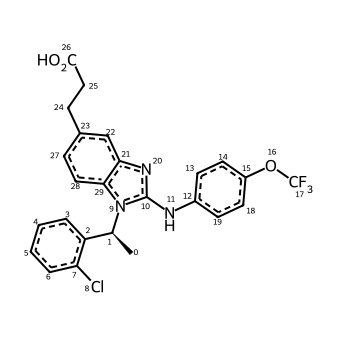 C[C@@H](c1ccccc1Cl)n1c(Nc2ccc(OC(F)(F)F)cc2)nc2cc(CCC(=O)O)ccc21